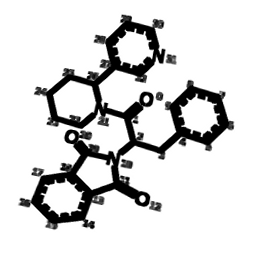 O=C(C(Cc1ccccc1)N1C(=O)c2ccccc2C1=O)N1CCCCC1c1cccnc1